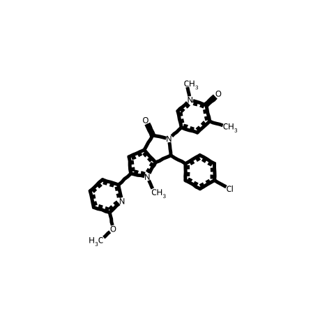 COc1cccc(-c2cc3c(n2C)C(c2ccc(Cl)cc2)N(c2cc(C)c(=O)n(C)c2)C3=O)n1